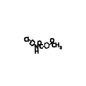 CC(=O)C1CCC(CC(=O)Nc2ccc(Cl)cc2)CC1